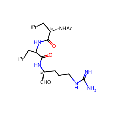 CC(=O)N[C@@H](CC(C)C)C(=O)NC(CC(C)C)C(=O)N[C@H](C=O)CCCNC(=N)N